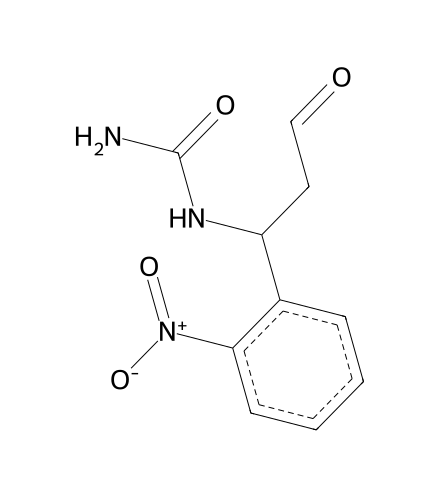 NC(=O)NC(CC=O)c1ccccc1[N+](=O)[O-]